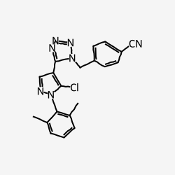 Cc1cccc(C)c1-n1ncc(-c2nnnn2Cc2ccc(C#N)cc2)c1Cl